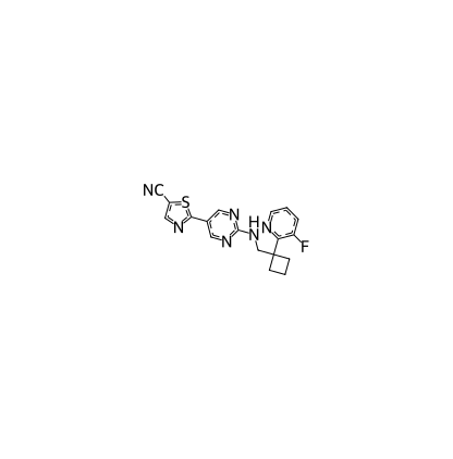 N#Cc1cnc(-c2cnc(NCC3(c4ncccc4F)CCC3)nc2)s1